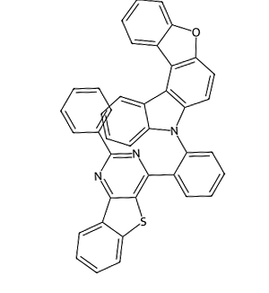 c1ccc(-c2nc(-c3ccccc3-n3c4ccccc4c4c5c(ccc43)oc3ccccc35)c3sc4ccccc4c3n2)cc1